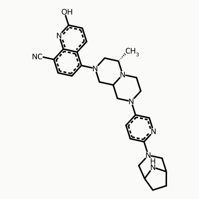 C[C@H]1CN(c2ccc(C#N)c3nc(O)ccc23)CC2CN(c3ccc(N4CC5CCC(C4)N5)nc3)CCN21